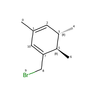 CC1=C[C@H](C)[C@@H](C)C(CBr)=C1